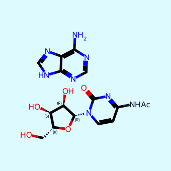 CC(=O)Nc1ccn([C@@H]2O[C@H](CO)[C@@H](O)[C@H]2O)c(=O)n1.Nc1ncnc2[nH]cnc12